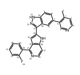 Cc1ccncc1-c1ccc2[nH]nc(-c3cc4c(-c5ccccc5F)nccc4[nH]3)c2c1